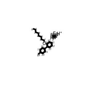 CCCCCCCCOc1ccccc1-c1ccc(I)cc1.[F][Sb-]([F])([F])([F])([F])[F].[H+]